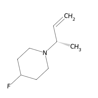 C=C[C@H](C)N1CCC(F)CC1